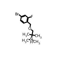 C[SiH](C)C(C)(C)COCc1ccc(Br)cc1F